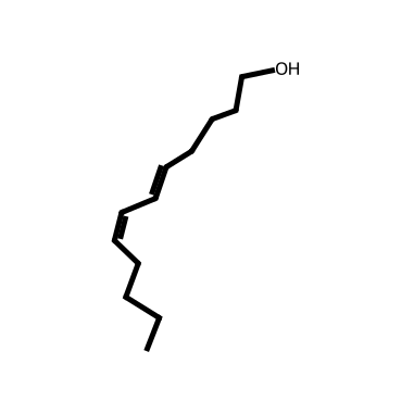 CCCC/C=C\C=C\CCCCO